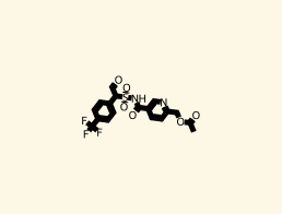 CC(=O)OCc1ccc(C(=O)NS(=O)(=O)C(C=O)c2ccc(C(F)(F)F)cc2)cn1